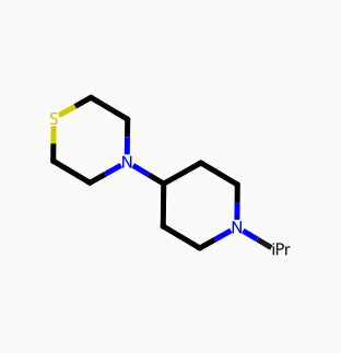 CC(C)N1CCC(N2CCSCC2)CC1